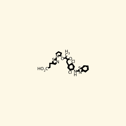 CC(O[C@H]1CCCN1c1ncc(CCC(=O)O)s1)C(=O)Cc1cc(Cl)c(Nc2nc3ccccc3s2)cc1Cl